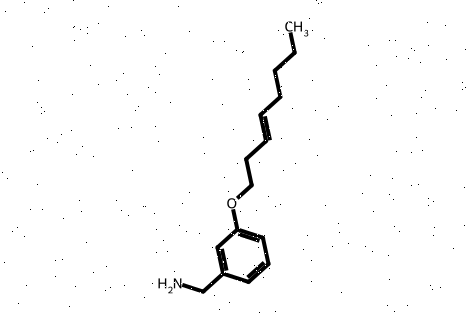 CCCCC=CCCOc1cccc(CN)c1